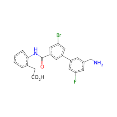 NCc1cc(F)cc(-c2cc(Br)cc(C(=O)Nc3ccccc3CC(=O)O)c2)c1